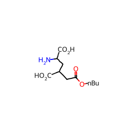 CCCCOC(=O)CC(CC(N)C(=O)O)C(=O)O